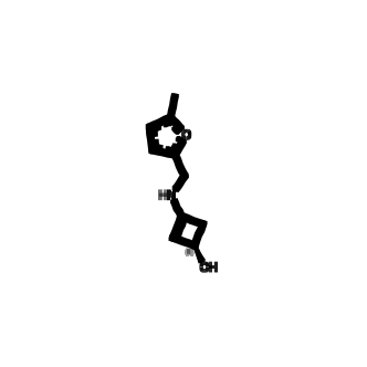 Cc1ccc(CNC2=C[C@H](O)C2)o1